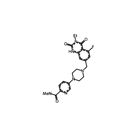 CCn1c(=O)[nH]c2cc(CN3CCN(c4ccc(C(=O)NC)nc4)CC3)cc(F)c2c1=O